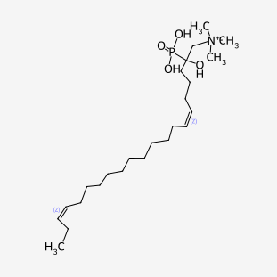 CC/C=C\CCCCCCCCCC/C=C\CCCC(O)(C[N+](C)(C)C)P(=O)(O)O